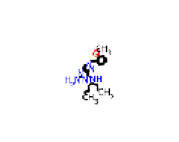 CCCCC(CCC)Nc1nc(N)nc2cn(Cc3ccccc3OC)nc12